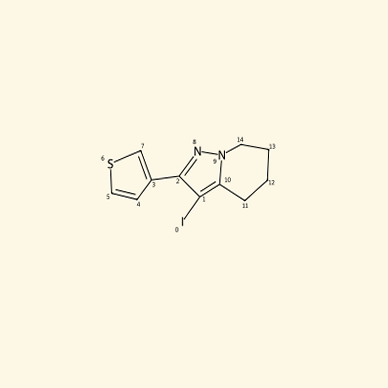 Ic1c(-c2ccsc2)nn2c1CCCC2